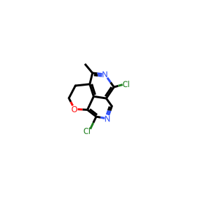 Cc1nc(Cl)c2cnc(Cl)c3c2c1CCO3